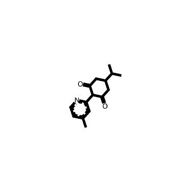 Cc1ccnc(C2C(=O)CC(C(C)C)CC2=O)c1